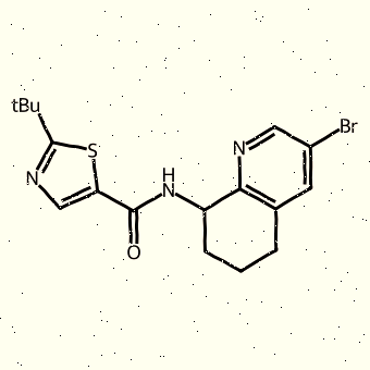 CC(C)(C)c1ncc(C(=O)NC2CCCc3cc(Br)cnc32)s1